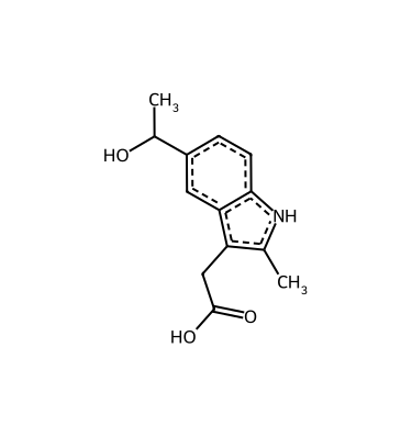 Cc1[nH]c2ccc(C(C)O)cc2c1CC(=O)O